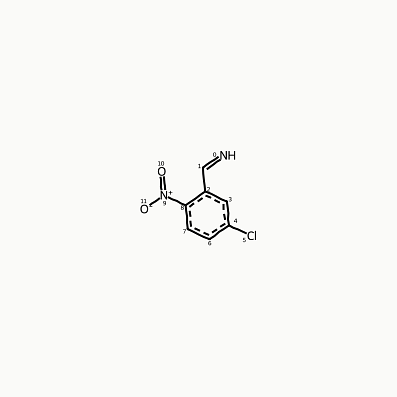 N=Cc1cc(Cl)ccc1[N+](=O)[O-]